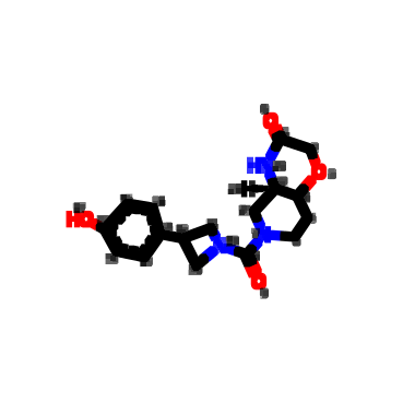 O=C1COC2CCN(C(=O)N3CC(c4ccc(O)cc4)C3)C[C@H]2N1